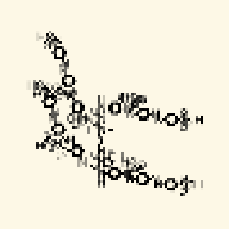 COc1cc(N=Nc2ccc(N=Nc3ccc(S(=O)(=O)O)cc3)cc2S(=O)(=O)O)ccc1Nc1nc(NCCCNc2nc(Nc3ccc(N=Nc4ccc(N=Nc5ccc(S(=O)(=O)O)cc5)cc4S(=O)(=O)O)c(C)c3)nc(Nc3ccc(N=Nc4ccc(N=Nc5ccc(S(=O)(=O)O)cc5)cc4S(=O)(=O)O)cc3OC)n2)nc(Nc2ccc(N=Nc3ccc(N=Nc4ccc(S(=O)(=O)O)cc4)cc3S(=O)(=O)O)c(C)c2)n1